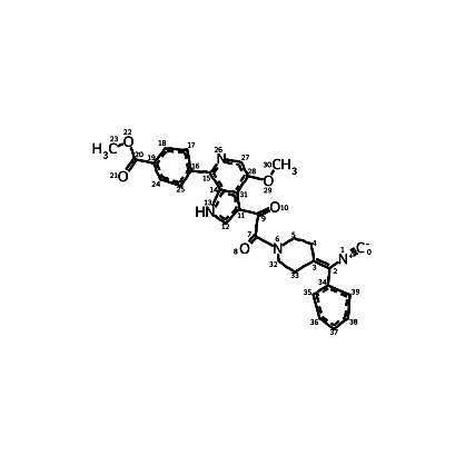 [C-]#[N+]C(=C1CCN(C(=O)C(=O)c2c[nH]c3c(-c4ccc(C(=O)OC)cc4)ncc(OC)c23)CC1)c1ccccc1